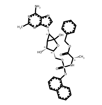 Cc1nc(N)c2ncn([C@H]3C4[C@@H](O)[C@@H](COP(=O)(N[C@@H](C)C(=O)OCc5ccccc5)Oc5cccc6ccccc56)OC43O)c2n1